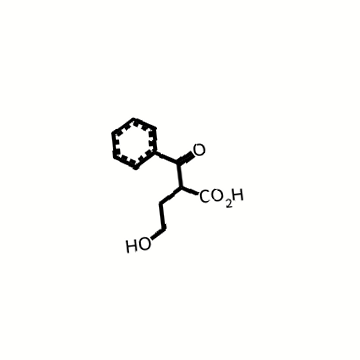 O=C(O)C(CCO)C(=O)c1ccccc1